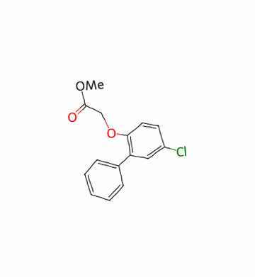 COC(=O)COc1ccc(Cl)cc1-c1ccccc1